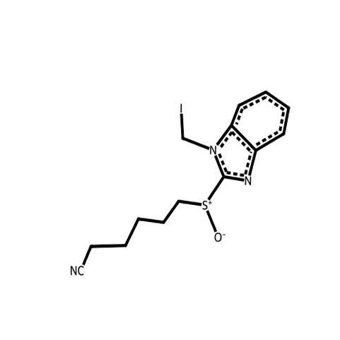 N#CCCCCC[S+]([O-])c1nc2ccccc2n1CI